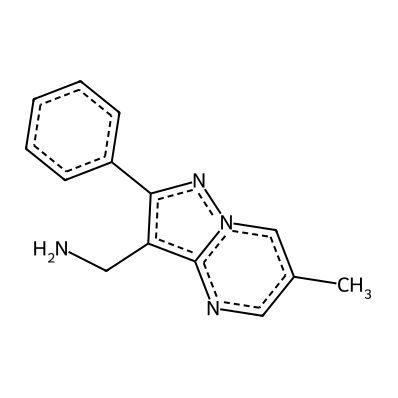 Cc1cnc2c(CN)c(-c3ccccc3)nn2c1